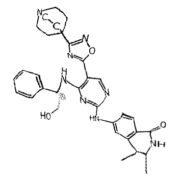 CC1NC(=O)c2ccc(Nc3ncc(-c4nc(C56CCN(CC5)CC6)no4)c(N[C@H](CO)c4ccccc4)n3)cc2C1C